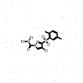 CCN(CC)C(=O)n1cc(Cl)c(S(=O)(=O)c2cc(C)ccc2C)n1